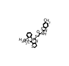 C=C1C2=C(CCS2)N=C(SCC(=O)Nc2nc3ccc(C)cc3s2)N1c1ccccc1OC